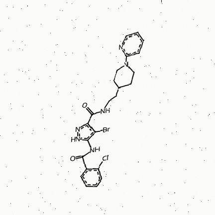 O=C(Nc1[nH]nc(C(=O)NCCC2CCN(c3ccccn3)CC2)c1Br)c1ccccc1Cl